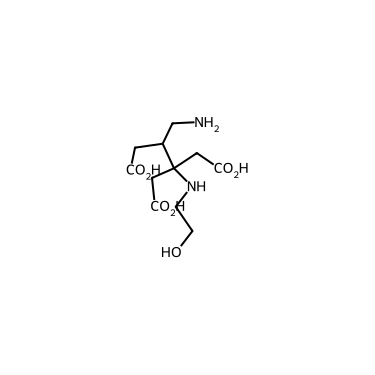 NCC(CC(=O)O)C(CC(=O)O)(CC(=O)O)NCCO